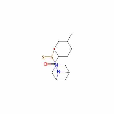 CC1CCC(C(=O)N2C3CC2CN(S(C)=S)C3)CC1